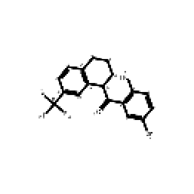 O=C(c1cc(Br)ccc1O)C1CCCc2ccc(C(F)(F)F)cc21